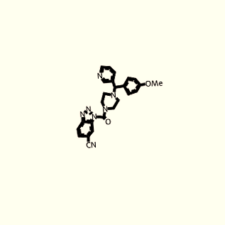 COc1ccc(C(c2cccnc2)N2CCN(C(=O)n3nnc4ccc(C#N)cc43)CC2)cc1